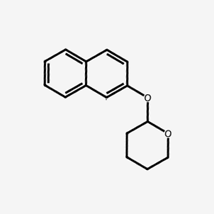 [c]1c(OC2CCCCO2)ccc2ccccc12